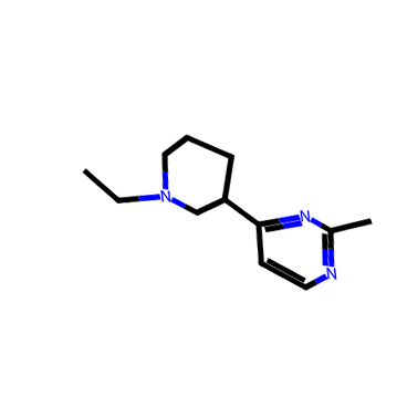 CCN1CCCC(c2ccnc(C)n2)C1